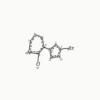 CCc1cn(-c2cccnc2Cl)cn1